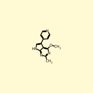 COc1nc(C)nc2[nH]cc(-c3ccncc3)c12